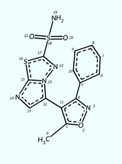 Cc1onc(-c2ccccc2)c1-c1cnc2sc(S(N)(=O)=O)nn12